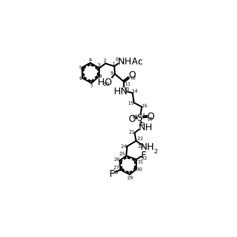 CC(=O)NC(Cc1ccccc1)C(O)C(=O)NCCCS(=O)(=O)NCC(N)Cc1cc(F)ccc1F